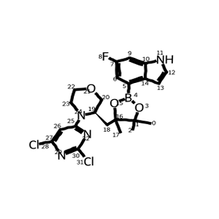 CC1(C)OB(c2cc(F)cc3[nH]ccc23)OC1(C)C[C@@H]1COCCN1c1cc(Cl)nc(Cl)n1